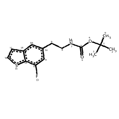 CC(C)(C)OC(=O)NCCc1cc(F)c2sccc2c1